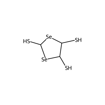 SC1[Se]C(S)C(S)[Se]1